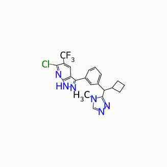 Cn1cnnc1C(c1cccc(-c2n[nH]c3nc(Cl)c(C(F)(F)F)cc23)c1)C1CCC1